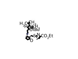 C=C(C)CCC(C/C=C/[C@@H]1CCC(=O)[C@@H]1CCSc1nc(C(=O)OCC)cs1)O[Si](C)(C)C(C)(C)C